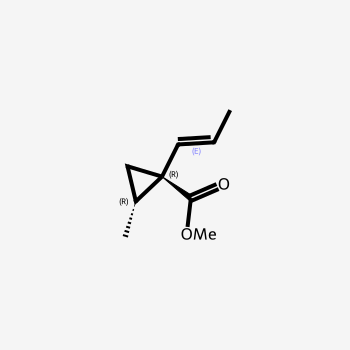 C/C=C/[C@@]1(C(=O)OC)C[C@H]1C